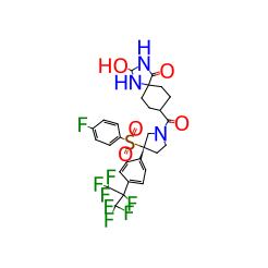 O=C(C1CCC2(CC1)NC(O)NC2=O)N1CC[C@](c2ccc(C(F)(C(F)(F)F)C(F)(F)F)cc2)(S(=O)(=O)c2ccc(F)cc2)C1